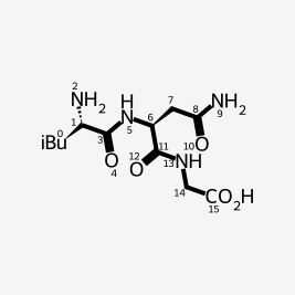 CC[C@H](C)[C@H](N)C(=O)N[C@@H](CC(N)=O)C(=O)NCC(=O)O